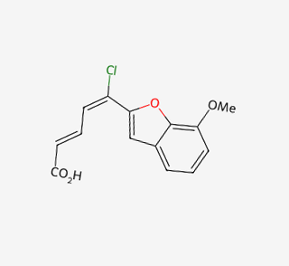 COc1cccc2cc(/C(Cl)=C\C=C\C(=O)O)oc12